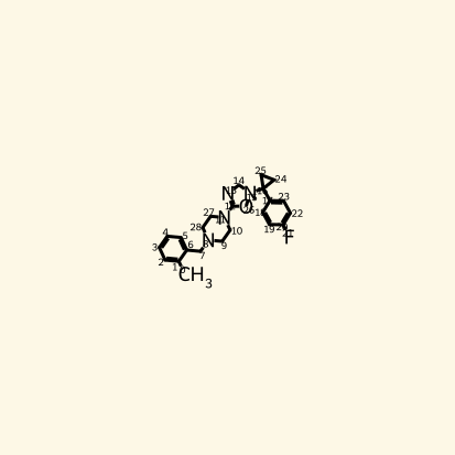 Cc1ccccc1CN1CCN(C2=NCN(C3(c4ccc(F)cc4)CC3)O2)CC1